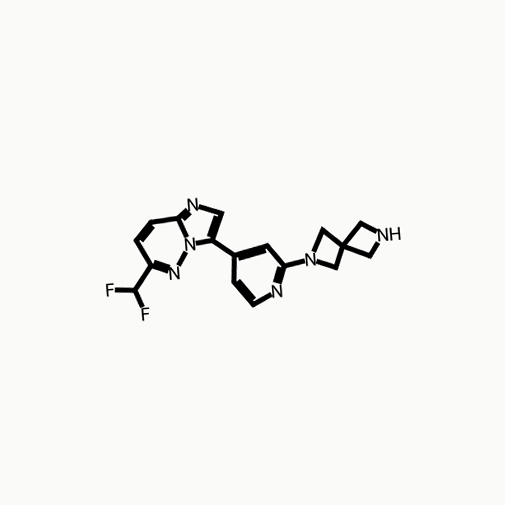 FC(F)c1ccc2ncc(-c3ccnc(N4CC5(CNC5)C4)c3)n2n1